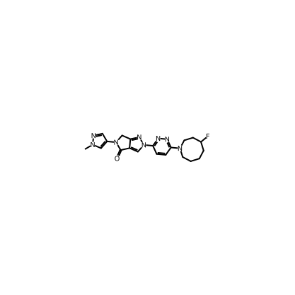 Cn1cc(N2Cc3nn(-c4ccc(N5CCCCC(F)CC5)nn4)cc3C2=O)cn1